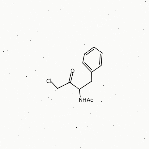 CC(=O)NC(Cc1ccccc1)C(=O)CCl